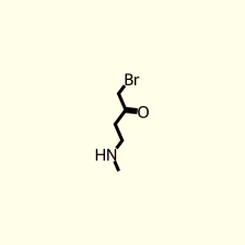 CNCCC(=O)CBr